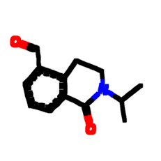 CC(C)N1CCc2c(C=O)cccc2C1=O